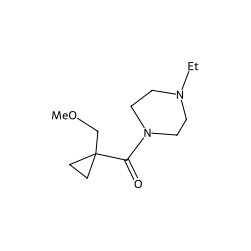 CCN1CCN(C(=O)C2(COC)CC2)CC1